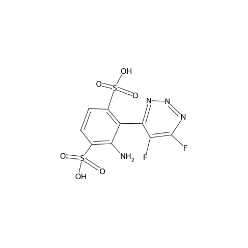 Nc1c(S(=O)(=O)O)ccc(S(=O)(=O)O)c1-c1nnnc(F)c1F